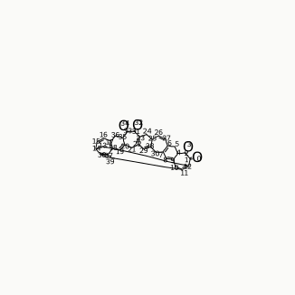 O=C1C(=O)C2CC3=C4C=C2CC2=C1CC1C=CC5=C(C=C6CC7=C(CC(C=C3)C(=C7)C4)C(=O)C(=O)C6C5)CC1=C2